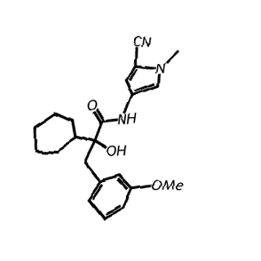 COc1cccc(CC(O)(C(=O)Nc2cc(C#N)n(C)c2)C2CCCCC2)c1